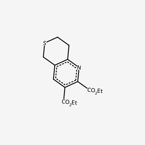 CCOC(=O)c1cc2c(nc1C(=O)OCC)CCSC2